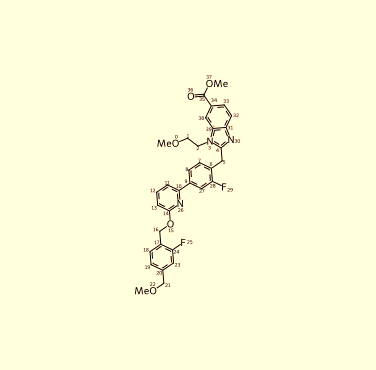 COCCn1c(Cc2ccc(-c3cccc(OCc4ccc(COC)cc4F)n3)cc2F)nc2ccc(C(=O)OC)cc21